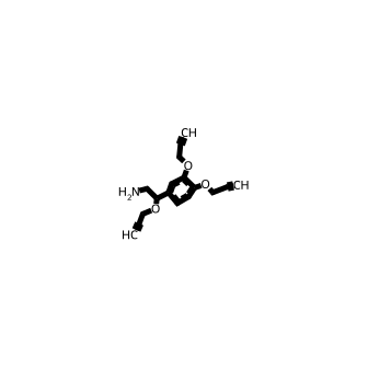 C#CCOc1ccc(C(CN)OCC#C)cc1OCC#C